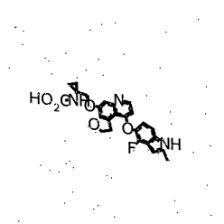 Cc1cc2c(F)c(Oc3ccnc4cc(OCC5(NC(=O)O)CC5)c5c(c34)CCO5)ccc2[nH]1